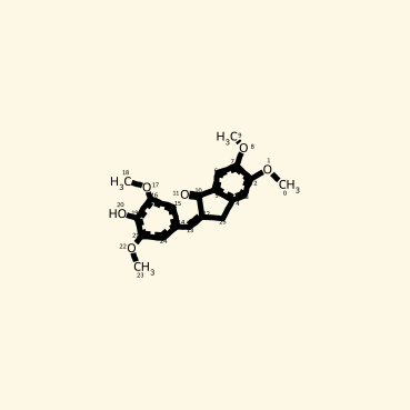 COc1cc2c(cc1OC)C(=O)C(=Cc1cc(OC)c(O)c(OC)c1)C2